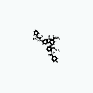 NCc1c(NC(=O)c2ccc(F)cc2)cccc1-c1ccc(C(N)=O)c2[nH]c3cc(NC(=O)C(O)c4ccccc4)ccc3c12